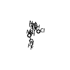 N#CC1(NC(=O)[C@H](Cc2nc3ccc(C4=CCN(CC(F)F)CC4)cc3o2)NC(=O)c2cccc(Cl)c2)CC1